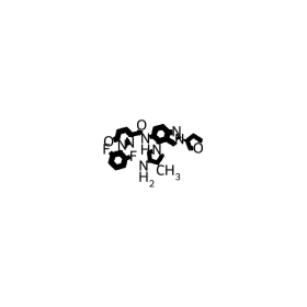 C[C@H]1CN(c2c(NC(=O)c3ccc(=O)n(-c4c(F)cccc4F)n3)ccc3nn([C@H]4CCOC4)cc23)C[C@@H]1N